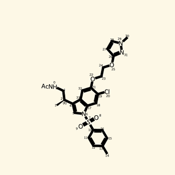 CC(=O)NC[C@H](C)c1cn(S(=O)(=O)c2ccc(C)cc2)c2cc(Cl)c(OCCOc3ccn(C)n3)cc12